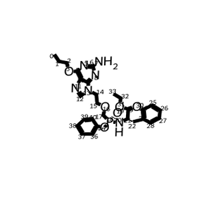 CCCOc1nc(N)nc2c1ncn2CCOCP(=O)(N[C@@H](Cc1ccccc1)C(=O)OCC)Oc1ccccc1